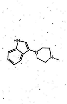 CN1CCN(c2c[nH]c3ccccc23)CC1